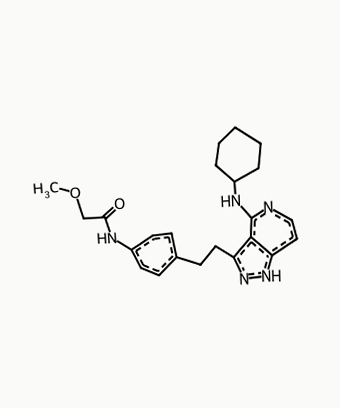 COCC(=O)Nc1ccc(CCc2n[nH]c3ccnc(NC4CCCCC4)c23)cc1